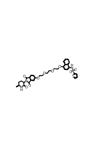 C=C1CCC(N2C(=O)c3ccc(OCCOCCOCCOc4ccc(NS(=O)(=O)c5cccs5)c5ccccc45)cc3C2=O)C(=O)N1